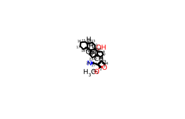 COc1occ([C@H]2CC[C@]3(O)[C@@H]4CC[C@@H]5CCCC[C@]5(C)[C@H]4CC[C@]23C)c1C#N